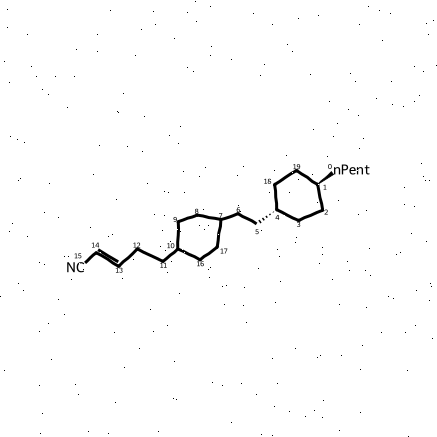 CCCCC[C@H]1CC[C@H](CCC2CCC(CCC=CC#N)CC2)CC1